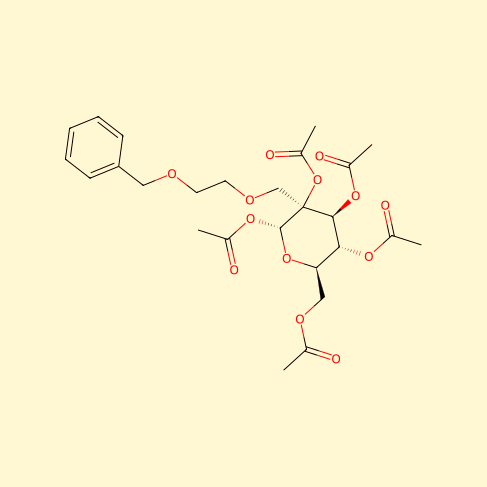 CC(=O)OC[C@H]1O[C@H](OC(C)=O)[C@@](COCCOCc2ccccc2)(OC(C)=O)[C@@H](OC(C)=O)[C@@H]1OC(C)=O